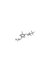 Cc1nc(CN)oc1CO[Si](C)(C)C(C)(C)C